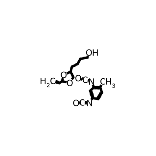 C=CC1OCC(CCCCO)O1.Cc1ccc(N=C=O)cc1N=C=O